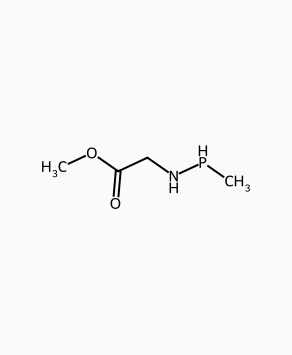 COC(=O)CNPC